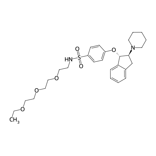 CCOCCOCCOCCNS(=O)(=O)c1ccc(O[C@H]2c3ccccc3C[C@@H]2N2CCCCC2)cc1